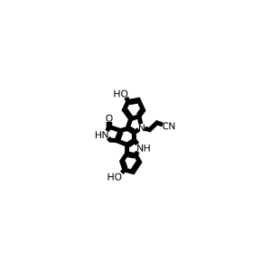 N#CCCn1c2ccc(O)cc2c2c3c(c4c5cc(O)ccc5[nH]c4c21)CNC3=O